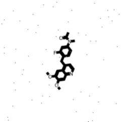 COc1cc2nccc(Cc3ccc(N(C)C(C)=O)cc3F)c2cc1OC